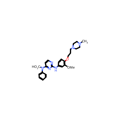 COc1cc(Nc2nccc(N(C(=O)O)c3ccccc3)n2)ccc1OCCCN1CCN(C)CC1